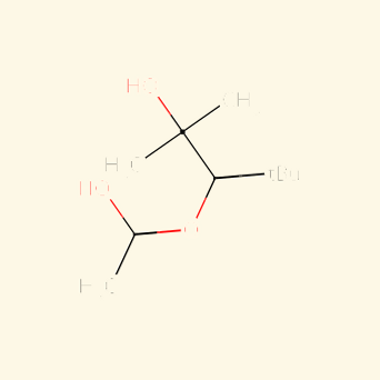 CC(O)OC(C(C)(C)C)C(C)(C)O